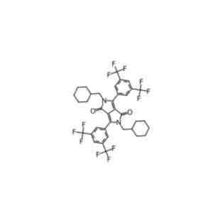 O=C1C2=C(c3cc(C(F)(F)F)cc(C(F)(F)F)c3)N(CC3CCCCC3)C(=O)C2=C(c2cc(C(F)(F)F)cc(C(F)(F)F)c2)N1CC1CCCCC1